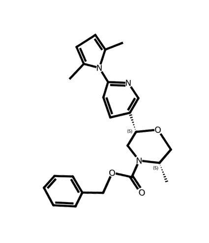 Cc1ccc(C)n1-c1ccc([C@H]2CN(C(=O)OCc3ccccc3)[C@@H](C)CO2)cn1